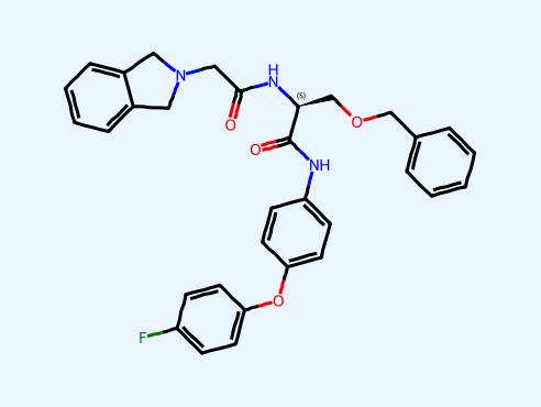 O=C(CN1Cc2ccccc2C1)N[C@@H](COCc1ccccc1)C(=O)Nc1ccc(Oc2ccc(F)cc2)cc1